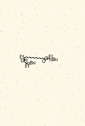 CCCCC(CC)COC(=O)CCCCCCCCCCCC(CC)C(=O)OCC(CC)CCCC